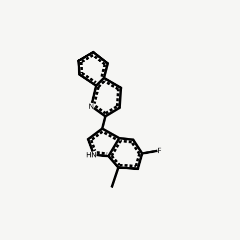 Cc1cc(F)cc2c(-c3ccc4ccccc4n3)c[nH]c12